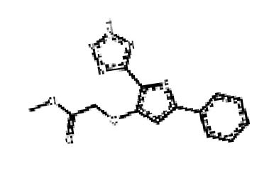 COC(=O)COc1cc(-c2ccccc2)sc1-c1nn[nH]n1